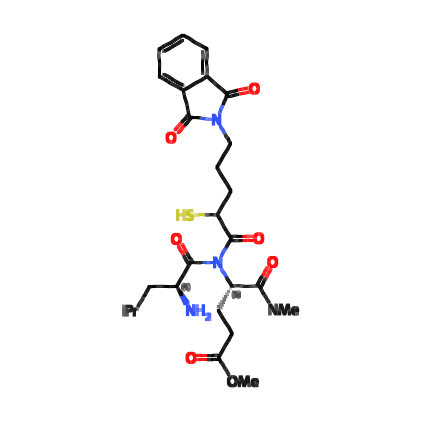 CNC(=O)[C@H](CCC(=O)OC)N(C(=O)C(S)CCCN1C(=O)c2ccccc2C1=O)C(=O)[C@@H](N)CC(C)C